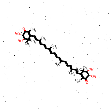 CC1=C(/C=C/C(C)=C/C=C/C(C)=C/C=C/C=C(C)/C=C/C=C(C)/C=C/C2=C(C)C(=O)[C@@H](O)[C@H](O)C2(C)C)C(C)(C)[C@@H](O)[C@H](O)C1=O